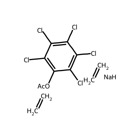 C=C.C=C.CC(=O)Oc1c(Cl)c(Cl)c(Cl)c(Cl)c1Cl.[NaH]